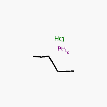 CCCC.Cl.P